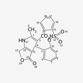 CC1=C(C(=O)O)C(c2ccccc2OS(=O)(=O)c2ccccc2)C2=C(COC2=O)N1